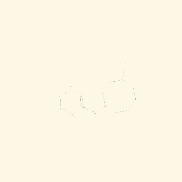 BC1CCCCC(Nc2cccc(C(F)(F)F)c2)CC1